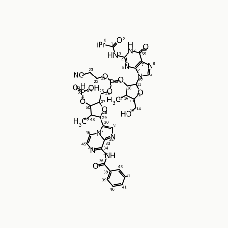 CC(C)C(=O)Nc1nc2c(ncn2C2OC(CO)C(C)C2OP(OCCC#N)OCC2OC(c3cnc4c(NC(=O)c5ccccc5)nccn34)C(C)C2O[PH](=O)O)c(=O)[nH]1